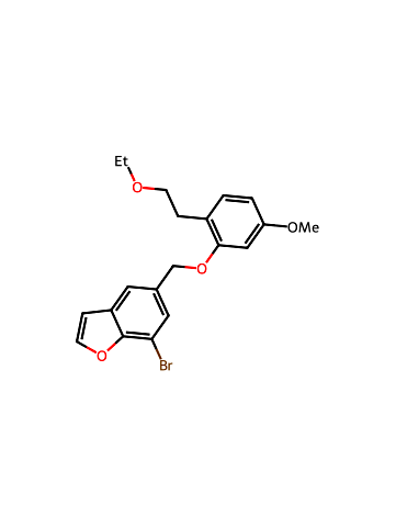 CCOCCc1ccc(OC)cc1OCc1cc(Br)c2occc2c1